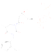 Cc1cn([C@H]2C[C@@H](O)[C@@H](COP(=O)(O)OP(=O)(O)OP(=O)(O)O)O2)c(=O)n(Cc2ccccc2[N+](=O)[O-])c1=O